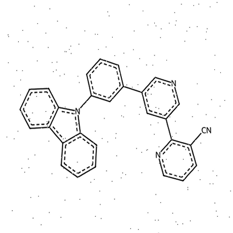 N#Cc1cccnc1-c1cncc(-c2cccc(-n3c4ccccc4c4ccccc43)c2)c1